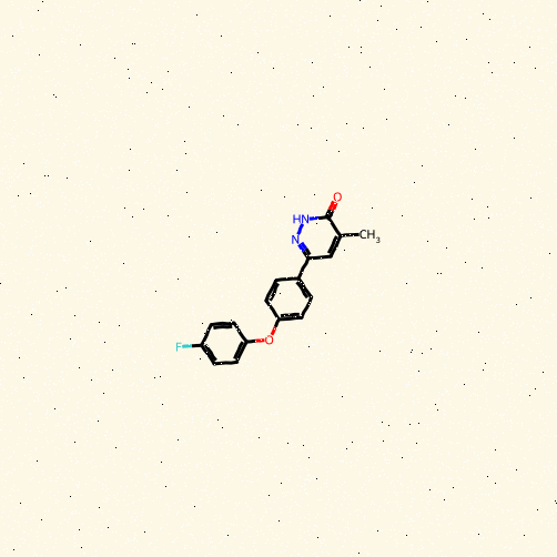 Cc1cc(-c2ccc(Oc3ccc(F)cc3)cc2)n[nH]c1=O